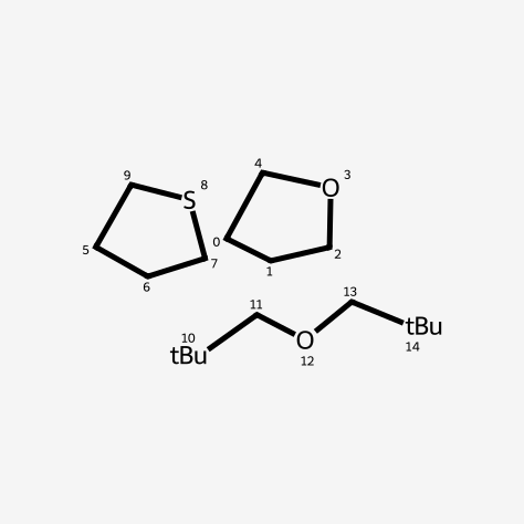 C1CCOC1.C1CCSC1.CC(C)(C)COCC(C)(C)C